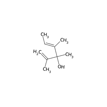 C=C(C)C(C)(O)C(C)=CC